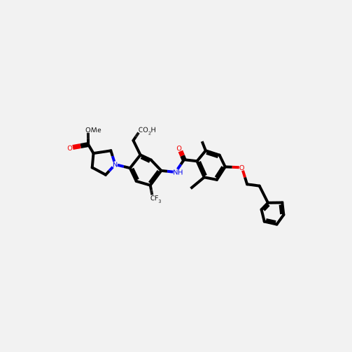 COC(=O)C1CCN(c2cc(C(F)(F)F)c(NC(=O)c3c(C)cc(OCCc4ccccc4)cc3C)cc2CC(=O)O)C1